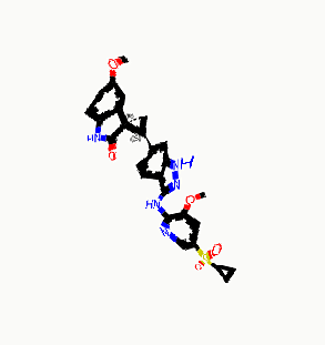 COc1ccc2c(c1)[C@]1(C[C@H]1c1ccc3c(Nc4ncc(S(=O)(=O)C5CC5)cc4OC)n[nH]c3c1)C(=O)N2